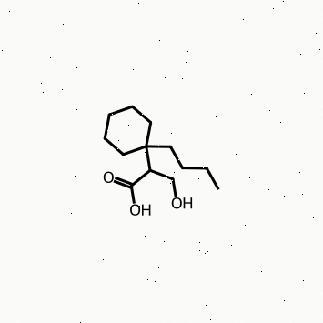 CCCCC1(C(CO)C(=O)O)CCCCC1